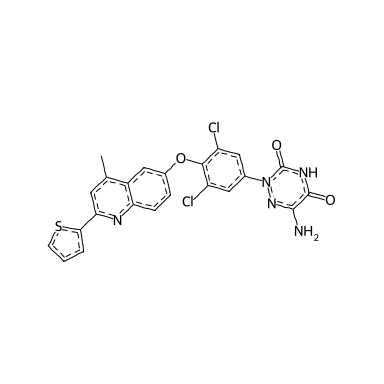 Cc1cc(-c2cccs2)nc2ccc(Oc3c(Cl)cc(-n4nc(N)c(=O)[nH]c4=O)cc3Cl)cc12